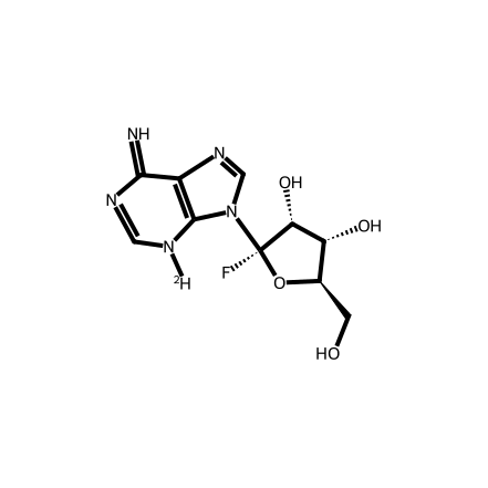 [2H]n1cnc(=N)c2ncn([C@]3(F)O[C@H](CO)[C@@H](O)[C@H]3O)c21